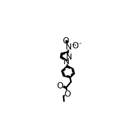 CCOC(=O)Cc1ccc(-n2ccc([N+](=O)[O-])n2)cc1